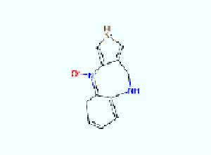 [O-][N+]1=C2CC=CC=C2NCC2=C[SH]C=C21